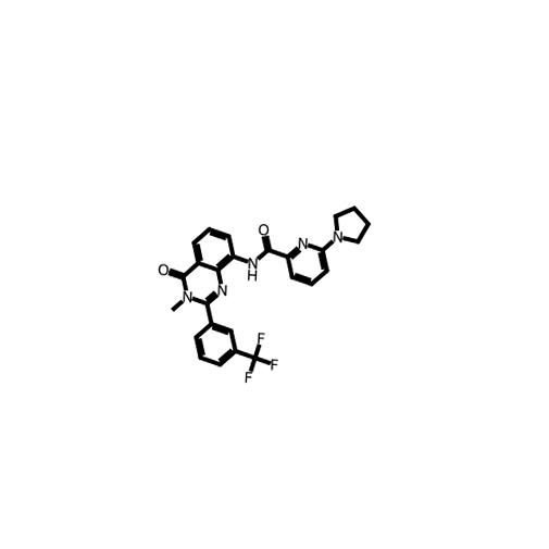 Cn1c(-c2cccc(C(F)(F)F)c2)nc2c(NC(=O)c3cccc(N4CCCC4)n3)cccc2c1=O